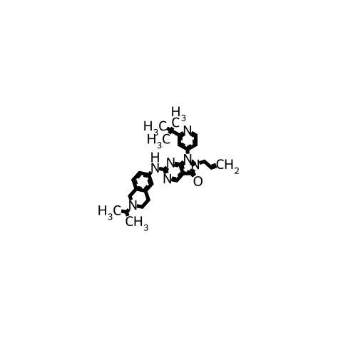 C=CCn1c(=O)c2cnc(Nc3ccc4c(c3)CCN(C(C)C)C4)nc2n1-c1ccnc(C(C)(C)C)c1